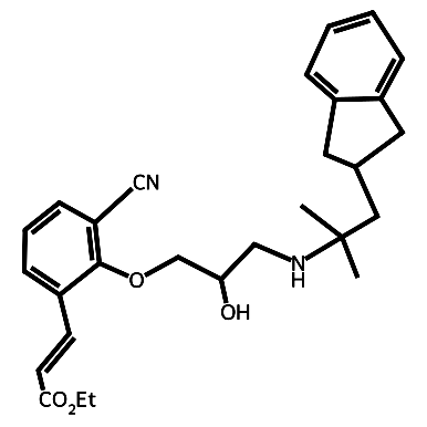 CCOC(=O)C=Cc1cccc(C#N)c1OCC(O)CNC(C)(C)CC1Cc2ccccc2C1